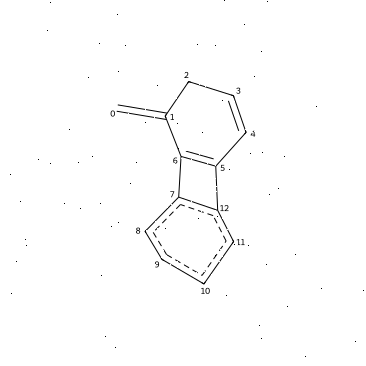 C=C1CC=CC2=C1c1ccccc12